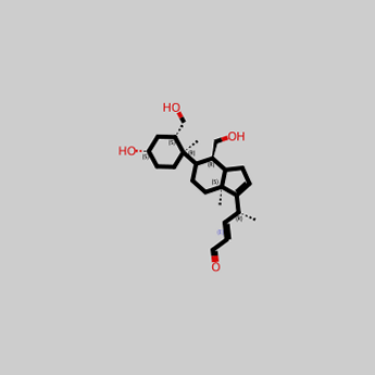 C[C@H](/C=C/C=O)C1=CCC2[C@H](CO)C([C@@]3(C)CC[C@H](O)C[C@@H]3CO)CC[C@]12C